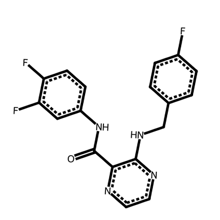 O=C(Nc1ccc(F)c(F)c1)c1nccnc1NCc1ccc(F)cc1